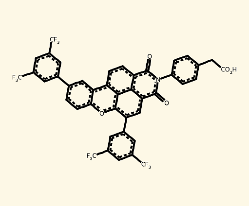 O=C(O)Cc1ccc(-n2c(=O)c3ccc4c5cc(-c6cc(C(F)(F)F)cc(C(F)(F)F)c6)ccc5oc5c(-c6cc(C(F)(F)F)cc(C(F)(F)F)c6)cc(c2=O)c3c54)cc1